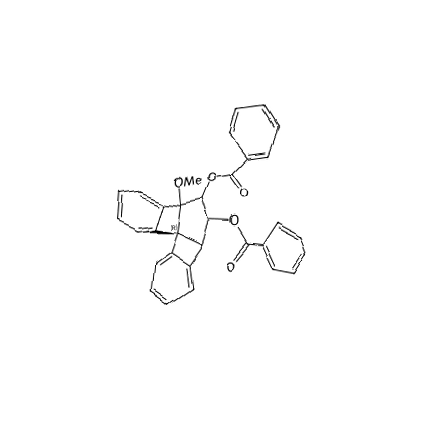 COC12c3ccccc3[C@@]13c1ccccc1C3C(OC(=O)c1ccccc1)C2OC(=O)c1ccccc1